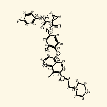 Cc1c(OCCN2CCOCC2)ncc2c(Oc3ccc(NC(=O)C4(C(=O)Nc5ccc(F)cc5)CC4)cc3F)ccnc12